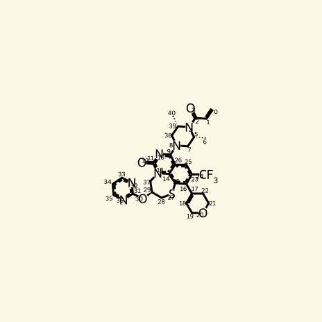 C=CC(=O)N1[C@H](C)CN(c2nc(=O)n3c4c(c(C5=CCOCC5)c(C(F)(F)F)cc24)SC[C@@H](Oc2ncccn2)C3)C[C@@H]1C